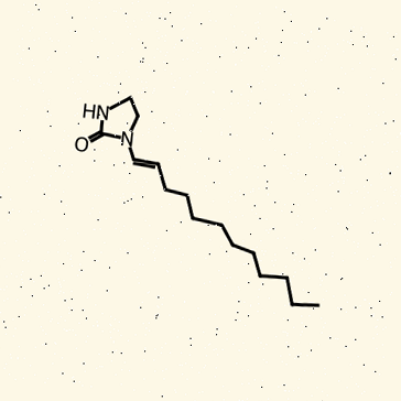 CCCCCCCCCCC=CN1CCNC1=O